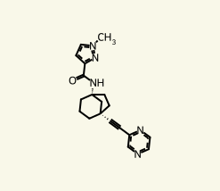 Cn1ccc(C(=O)N[C@]23CCC[C@](C#Cc4cnccn4)(CC2)C3)n1